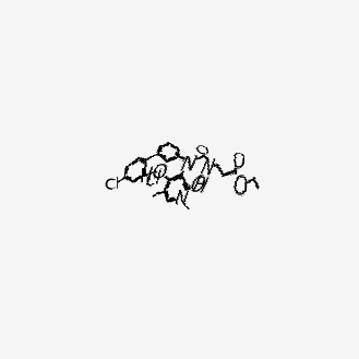 CCOC(=O)CCNC(=O)N(c1cccc(-c2ccc(Cl)cc2Cl)c1)c1c(O)c(C)cn(C)c1=O